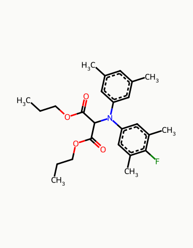 CCCOC(=O)C(C(=O)OCCC)N(c1cc(C)cc(C)c1)c1cc(C)c(F)c(C)c1